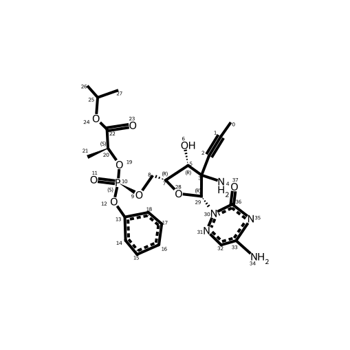 CC#CC1(N)[C@@H](O)[C@@H](CO[P@](=O)(Oc2ccccc2)O[C@@H](C)C(=O)OC(C)C)O[C@H]1n1ncc(N)nc1=O